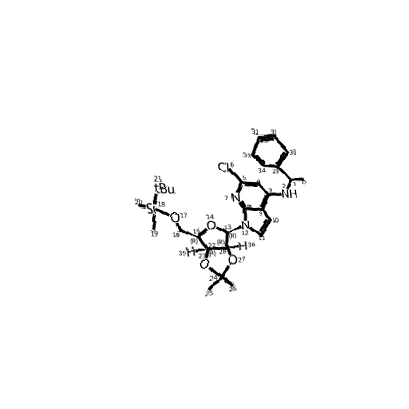 CC(Nc1cc(Cl)nc2c1ccn2[C@@H]1O[C@H](CO[Si](C)(C)C(C)(C)C)[C@H]2OC(C)(C)O[C@H]21)c1ccccc1